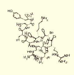 CCCC[C@H](NC(=O)[C@H](CCCCN)NC(=O)[C@@H](NC(=O)[C@H](CCCNC(=N)N)NC(=O)[C@H](CCCNC(=N)N)NC(=O)[C@@H](N)C(C)C)[C@@H](C)CC)C(=O)N[C@@H](CC(C)C)C(=O)N[C@@H](CS)C(=O)N[C@@H](Cc1ccc(O)cc1)C(=O)O